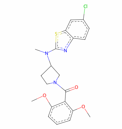 COc1cccc(OC)c1C(=O)N1CCC(N(C)c2nc3ccc(Cl)cc3s2)C1